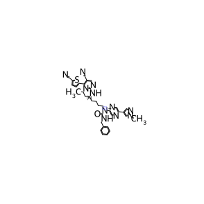 CCC[C@H](CCC/C=[N+](\C(=O)NCc1ccccc1)c1cnc(-c2cnn(C)c2)cn1)Nc1ncc(C#N)c(-c2ccc(C#N)s2)n1